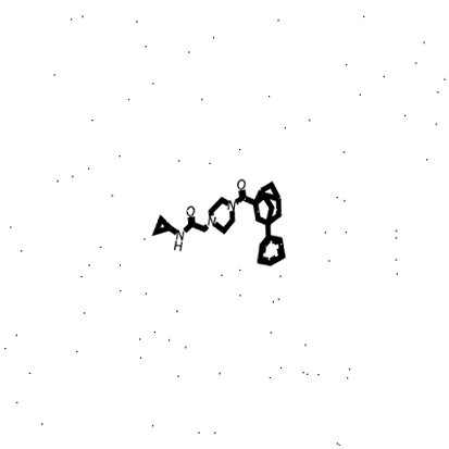 O=C(CN1CCN(C(=O)C23CC4CC2CC(c2ccccc2)(C4)C3)CC1)NC1CC1